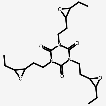 CCC1OC1CCn1c(=O)n(CCC2OC2CC)c(=O)n(CCC2OC2CC)c1=O